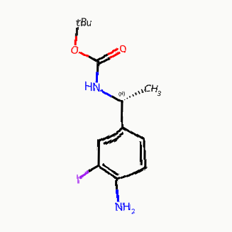 C[C@@H](NC(=O)OC(C)(C)C)c1ccc(N)c(I)c1